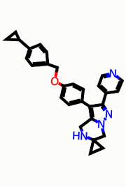 c1cc(-c2nn3c(c2-c2ccc(OCc4ccc(C5CC5)cc4)cc2)CNC2(CC2)C3)ccn1